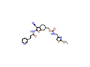 Cc1nc(CNC(=O)OCC2CCc3c(sc(NC(=O)C=Cc4cccnc4)c3C#N)C2)cs1